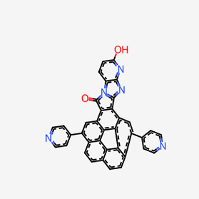 O=c1c2c3cc(-c4ccncc4)c4ccc5ccc6c(-c7ccncc7)cc(c7c6c5c4c37)c2c2nc3nc(O)ccc3n12